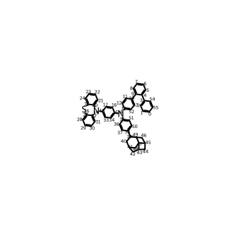 c1ccc(-c2ccccc2-c2ccc(N(c3ccc(N4c5ccccc5Sc5ccccc54)cc3)c3ccc(C45CC6CC7CC(C4)C7(C6)C5)cc3)cc2)cc1